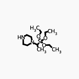 CCO[Si](OCC)(OCC)C(C)N1CCNCC1